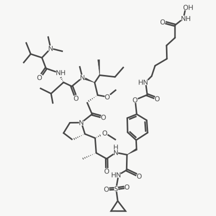 CC[C@H](C)[C@@H]([C@@H](CC(=O)N1CCC[C@H]1[C@H](OC)[C@@H](C)C(=O)N[C@@H](Cc1ccc(OC(=O)NCCCCCC(=O)NO)cc1)C(=O)NS(=O)(=O)C1CC1)OC)N(C)C(=O)[C@@H](NC(=O)C(C(C)C)N(C)C)C(C)C